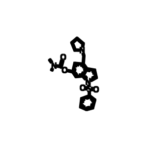 CN(C)C(=O)Oc1cc(CN2CCCC2)c2ccn(S(=O)(=O)c3ccccc3)c2c1